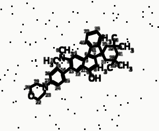 CN(C)c1cc2c3c(cc(O)c2cc1-c1ccc(N2CCOCC2)cc1)C1(CC(C)(C)CC(C)(C)C1)c1ccccc1-3